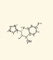 CC(Cn1cncn1)C(O)c1ccc(F)cc1F